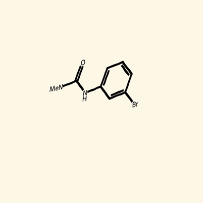 CNC(=O)Nc1cccc(Br)c1